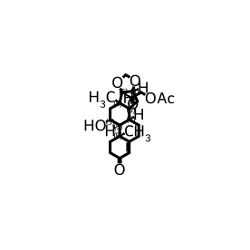 CC(=O)OCC(=O)[C@@]12OCO[C@@H]1C[C@H]1[C@@H]3CCC4=CC(=O)CC[C@]4(C)[C@H]3[C@@H](O)C[C@@]12C